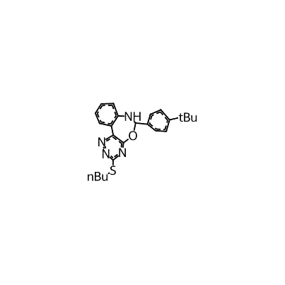 CCCCSc1nnc2c(n1)OC(c1ccc(C(C)(C)C)cc1)Nc1ccccc1-2